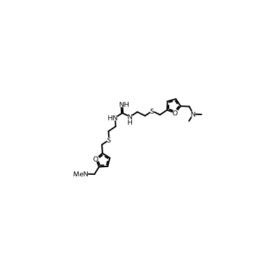 CNCc1ccc(CSCCNC(=N)NCCSCc2ccc(CN(C)C)o2)o1